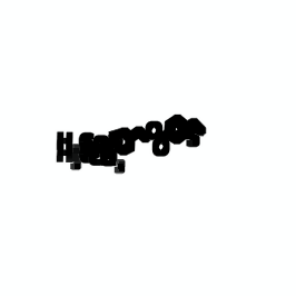 CC(C)(C)OC(=O)N1CCC(CCOC(=O)c2ccc3ccsc3c2)CC1